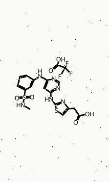 CNS(=O)(=O)c1cccc(Nc2cc(Nc3nc(CC(=O)O)cs3)ncn2)c1.O=C(O)C(F)(F)F